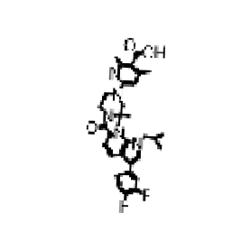 Cc1cc(N2CCN(C(=O)c3ccc4c(-c5ccc(F)c(F)c5)cn(CC(C)C)c4n3)C(C)(C)C2)nc(C)c1C(=O)O